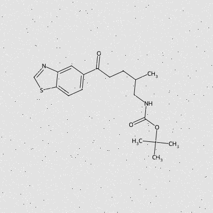 CC(CCC(=O)c1ccc2scnc2c1)CNC(=O)OC(C)(C)C